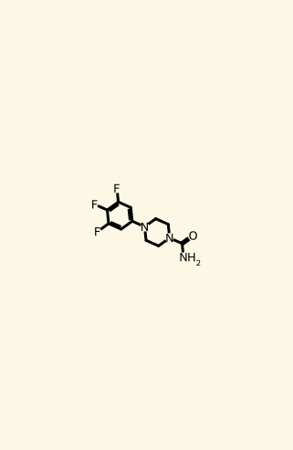 NC(=O)N1CCN(c2cc(F)c(F)c(F)c2)CC1